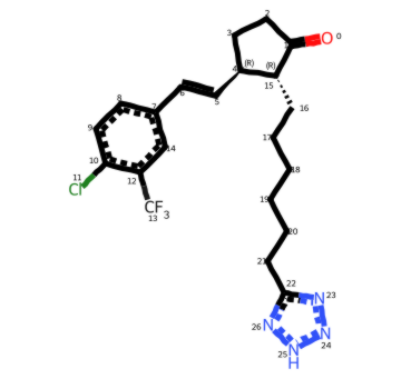 O=C1CC[C@H](C=Cc2ccc(Cl)c(C(F)(F)F)c2)[C@H]1CCCCCCc1nn[nH]n1